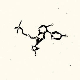 Cn1cc(-c2cc3c(-n4cc(Br)cn4)c(Cl)cnc3n2COCC[Si](C)(C)C)cn1